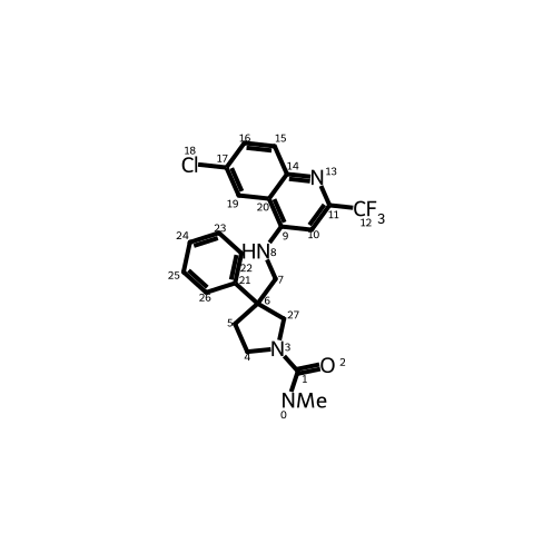 CNC(=O)N1CCC(CNc2cc(C(F)(F)F)nc3ccc(Cl)cc23)(c2ccccc2)C1